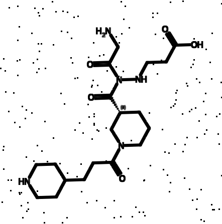 NCC(=O)N(NCCC(=O)O)C(=O)[C@@H]1CCCN(C(=O)CCC2CCNCC2)C1